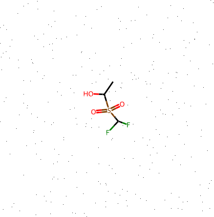 CC(O)S(=O)(=O)C(F)F